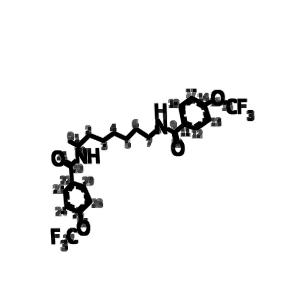 CC(CCCCCCNC(=O)c1ccc(OC(F)(F)F)cc1)NC(=O)c1ccc(OC(F)(F)F)cc1